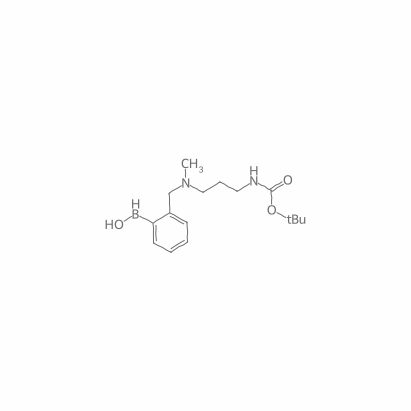 CN(CCCNC(=O)OC(C)(C)C)Cc1ccccc1BO